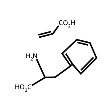 C=CC(=O)O.NC(Cc1ccccc1)C(=O)O